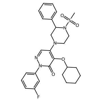 CS(=O)(=O)N1CCN(c2cnn(-c3cccc(F)c3)c(=O)c2OC2CCCCC2)CC1c1ccccc1